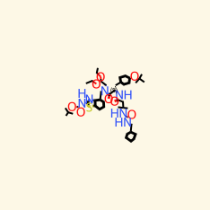 CCOC(CN(Cc1cccc2sc(NC(=O)OC(C)(C)C)nc12)C(=O)[C@H](Cc1ccc(OC(C)(C)C)cc1)NC(=O)CC(C)(C)NC(=O)NCc1ccccc1)OCC